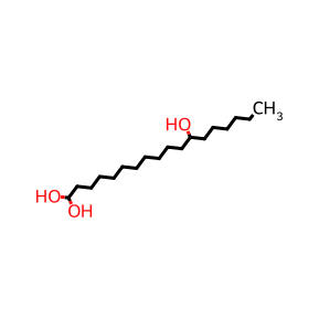 CCCCCCC(O)CCCCCCCCCCC(O)O